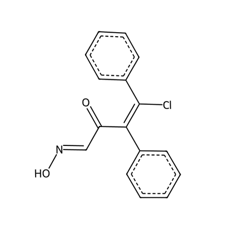 O=C(C=NO)C(=C(Cl)c1ccccc1)c1ccccc1